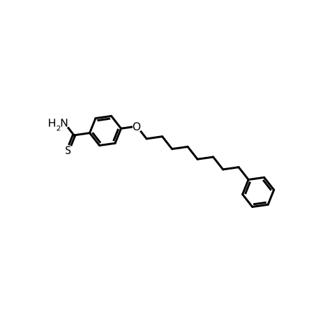 NC(=S)c1ccc(OCCCCCCCCc2ccccc2)cc1